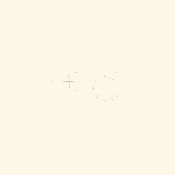 CCCCCCCC(CC[C@@H]1CCC(O)O[C@H](C)C[C@H]1O)(OC)OC